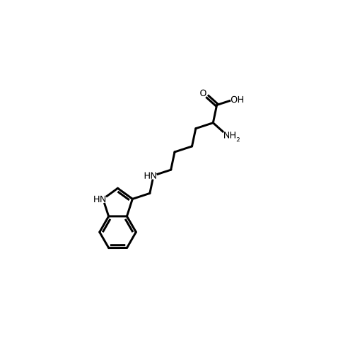 NC(CCCCNCc1c[nH]c2ccccc12)C(=O)O